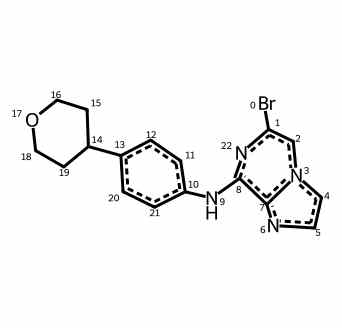 Brc1cn2ccnc2c(Nc2ccc(C3CCOCC3)cc2)n1